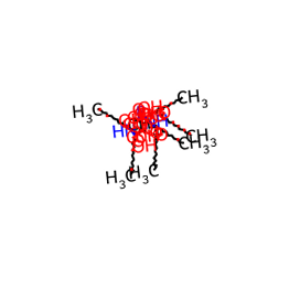 CCCCCCCCCCCC(=O)O[C@H](CCCCCCCCC)CC(=O)NC1[C@H](OCC2OC(C)C(NC(=O)C[C@H](O)CCCCCCCCC)[C@@H](OC(=O)C[C@H](O)CCCCCCCCC)[C@@H]2O)OC(CO)[C@@H](OP(=O)(O)O)[C@@H]1OC(=O)C[C@@H](CCCCCCCCC)OC(=O)CCCCCCCCCCC